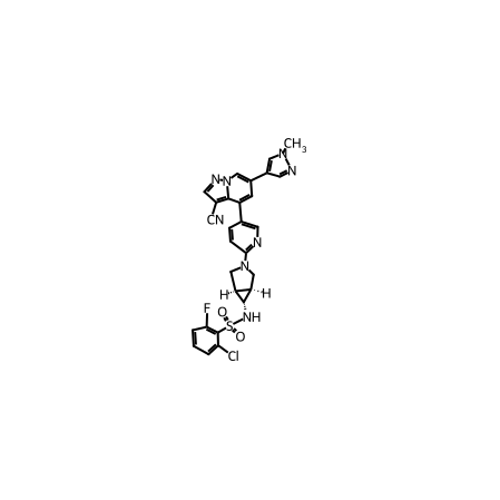 Cn1cc(-c2cc(-c3ccc(N4C[C@@H]5[C@H](C4)[C@H]5NS(=O)(=O)c4c(F)cccc4Cl)nc3)c3c(C#N)cnn3c2)cn1